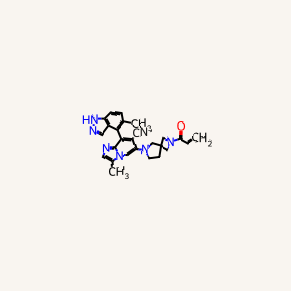 C=CC(=O)N1CC2(CCN(c3cn4c(C)cnc4c(-c4c(C)ccc5[nH]ncc45)c3C#N)C2)C1